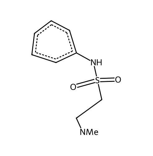 CNCCS(=O)(=O)Nc1ccccc1